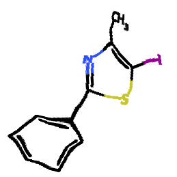 Cc1nc(-c2ccccc2)sc1I